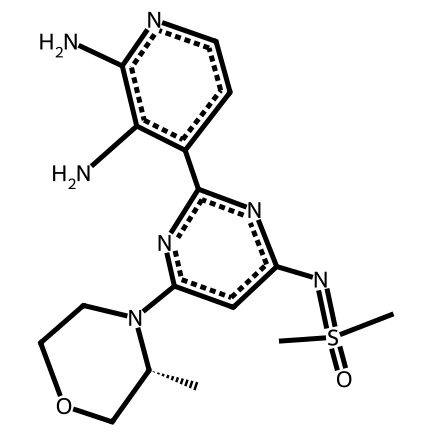 C[C@@H]1COCCN1c1cc(N=S(C)(C)=O)nc(-c2ccnc(N)c2N)n1